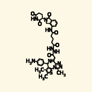 Cc1sc2c(c1C)C(c1ccc(N)cc1)=N[C@@H](CC(=O)NNC(=O)CCCC(=O)Nc1cccc3c1CN(C1CCC(=O)NC1=O)C3=O)c1nnc(C)n1-2